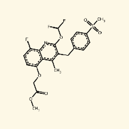 COC(=O)COc1ccc(F)c2nc(OC(F)F)c(Cc3ccc(S(C)(=O)=O)cc3)c(C)c12